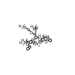 CCN(C)c1cc(OCc2cc(COc3cc4c(cc3OC)C(=O)N3c5ccccc5C[C@H]3CN4C)cc(N(CCCC(=O)OC)CCOCCOCCOC)c2)c(OC)cc1C(=O)N1CCc2ccccc21